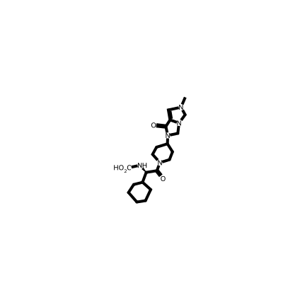 CN1C=C2C(=O)N(C3CCN(C(=O)[C@H](NC(=O)O)C4CCCCC4)CC3)CN2C1